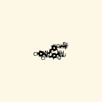 COC(=O)C(N)c1ccc(Cn2cc(-c3ccc(Cl)cc3Cl)nc2/C=C/c2ccc(OCCCC(F)(F)F)cc2)cc1